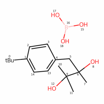 CC(C)(C)c1ccc(CC(C)(O)C(C)(C)O)cc1.OB(O)O